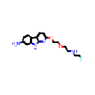 Nc1ccc2c(c1)[nH]c1nc(OCCOCCNCCF)ccc12